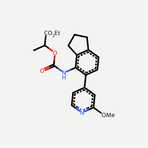 CCOC(=O)C(C)OC(=O)Nc1c(-c2ccnc(OC)c2)ccc2c1CCC2